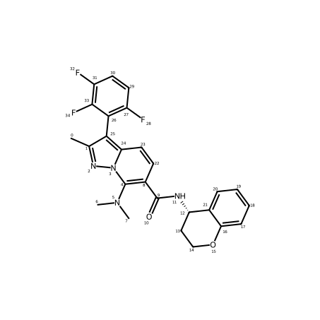 Cc1nn2c(N(C)C)c(C(=O)N[C@H]3CCOc4ccccc43)ccc2c1-c1c(F)ccc(F)c1F